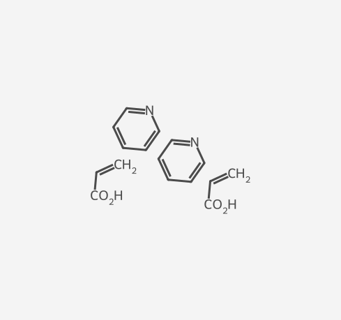 C=CC(=O)O.C=CC(=O)O.c1ccncc1.c1ccncc1